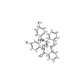 O=C(Nc1ccc(F)cc1)c1ccccc1SSc1ccccc1C(=O)Nc1ccc(F)cc1